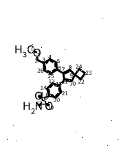 COCc1ccc(C2=CC3(C=C2c2ccc(S(N)(=O)=O)cc2)CCC3)cc1